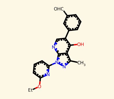 CCOc1cccc(-n2nc(C)c3c(O)c(-c4cccc(C=O)c4)cnc32)n1